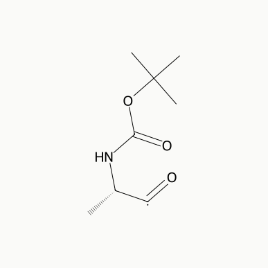 C[C@@H]([C]=O)NC(=O)OC(C)(C)C